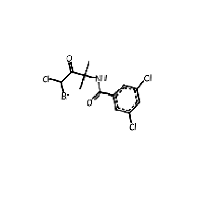 CC(C)(NC(=O)c1cc(Cl)cc(Cl)c1)C(=O)C(Cl)Br